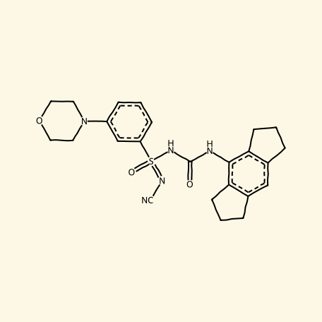 N#CN=S(=O)(NC(=O)Nc1c2c(cc3c1CCC3)CCC2)c1cccc(N2CCOCC2)c1